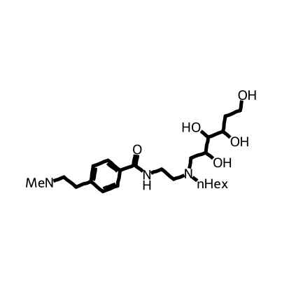 CCCCCCN(CCNC(=O)c1ccc(CCNC)cc1)CC(O)C(O)C(O)CCO